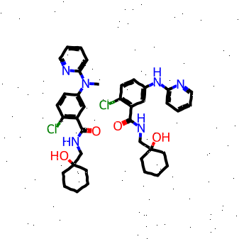 CN(c1ccc(Cl)c(C(=O)NCC2(O)CCCCC2)c1)c1ccccn1.O=C(NCC1(O)CCCCC1)c1cc(Nc2ccccn2)ccc1Cl